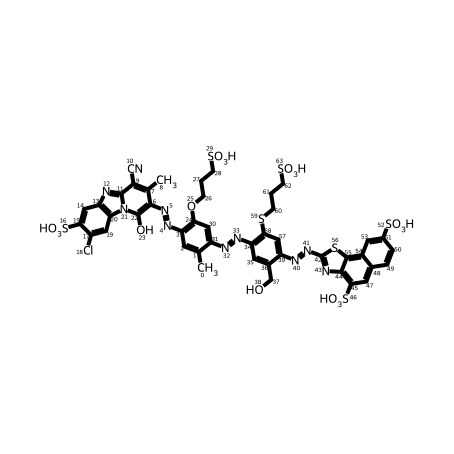 Cc1cc(N=Nc2c(C)c(C#N)c3nc4cc(S(=O)(=O)O)c(Cl)cc4n3c2O)c(OCCCS(=O)(=O)O)cc1N=Nc1cc(CO)c(N=Nc2nc3c(S(=O)(=O)O)cc4ccc(S(=O)(=O)O)cc4c3s2)cc1SCCCS(=O)(=O)O